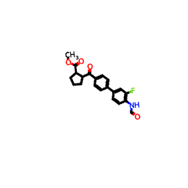 COC(=O)C1CCCC1C(=O)c1ccc(-c2ccc(NC=O)c(F)c2)cc1